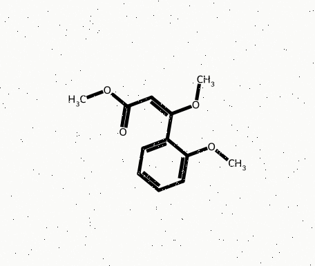 COC(=O)/C=C(/OC)c1ccccc1OC